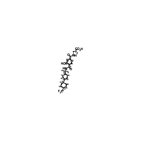 C[C@@H](CNC(=O)c1ncc(C(=O)NC(C)(C)c2ccc(-c3ccc(C(F)(F)F)cc3)cc2)c(O)n1)C(=O)O